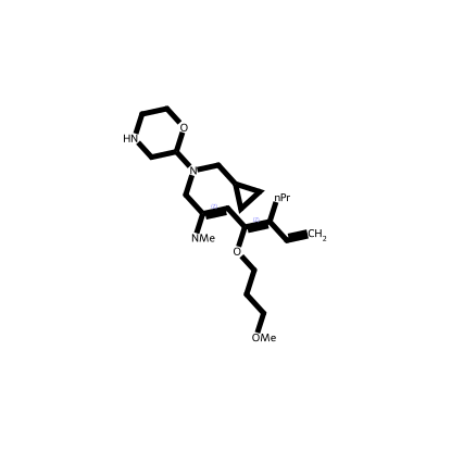 C=C/C(CCC)=C(/C=C(/CN(CC1CC1)C1CNCCO1)NC)OCCCOC